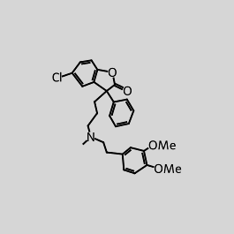 COc1ccc(CCN(C)CCCC2(c3ccccc3)C(=O)Oc3ccc(Cl)cc32)cc1OC